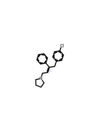 Clc1ccc(C/C(=C/CN2CCCC2)c2ccccc2)cc1